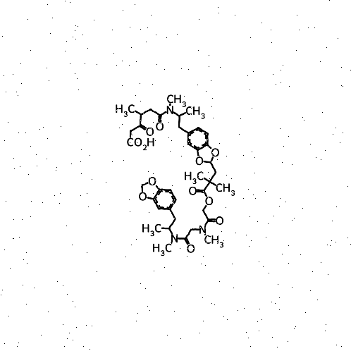 CC(CC(=O)N(C)C(C)Cc1ccc2c(c1)OC(CC(C)(C)C(=O)OCC(=O)N(C)CC(=O)N(C)C(C)Cc1ccc3c(c1)OCO3)O2)C(=O)CC(=O)O